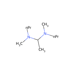 CCCN(C)C(C)N(C)CCC